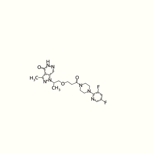 Cc1nn(C(C)COCCC(=O)N2CCN(c3ncc(F)cc3F)CC2)c2cn[nH]c(=O)c12